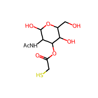 CC(=O)NC1C(O)OC(CO)C(O)C1OC(=O)CS